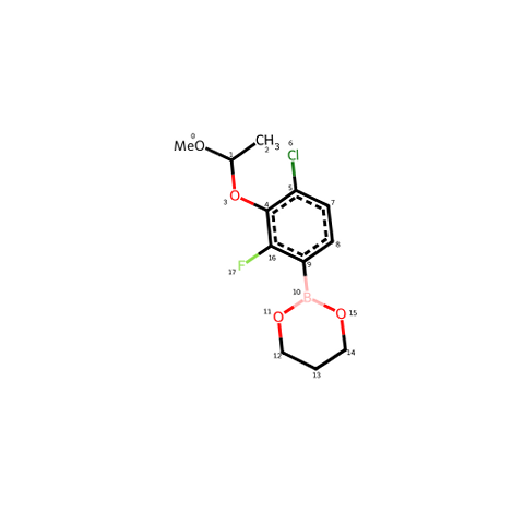 COC(C)Oc1c(Cl)ccc(B2OCCCO2)c1F